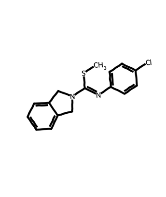 CSC(=Nc1ccc(Cl)cc1)N1Cc2ccccc2C1